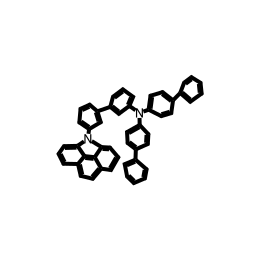 c1ccc(-c2ccc(N(c3ccc(-c4ccccc4)cc3)c3cccc(-c4cccc(-n5c6cccc7ccc8cccc5c8c76)c4)c3)cc2)cc1